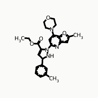 CCOC(=O)C1=CC(c2cccc(C)c2)NN1c1cc(N2CCOCC2)c2oc(C)cc2n1